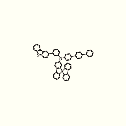 c1ccc(-c2ccc(-c3ccc(N(c4cccc(-c5ccc6sc7ccccc7c6c5)c4)c4ccc5c(c4)C4(c6ccccc6-c6ccccc64)c4ccccc4-5)cc3)cc2)cc1